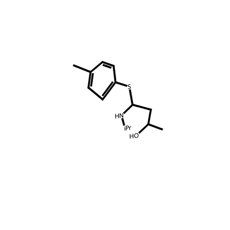 Cc1ccc(SC(CC(C)O)NC(C)C)cc1